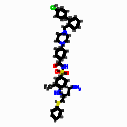 NCC[C@H](CSc1ccccc1)Nc1ccc(S(=O)(=O)NC(=O)c2ccc(N3CCN(Cc4ccccc4-c4ccc(Cl)cc4)CC3)cc2)cc1C(F)(F)F